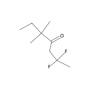 CCC(C)(C)C(=O)CC(C)(F)F